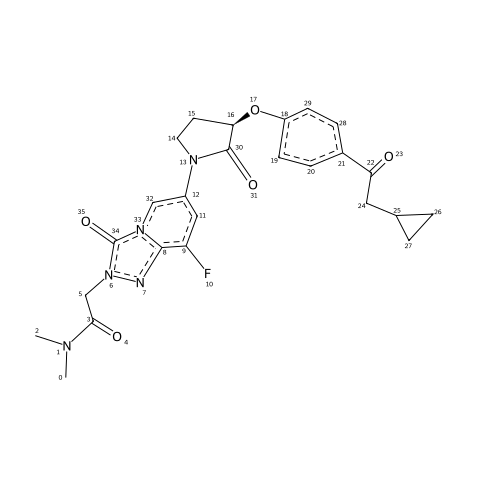 CN(C)C(=O)Cn1nc2c(F)cc(N3CC[C@@H](Oc4ccc(C(=O)CC5CC5)cc4)C3=O)cn2c1=O